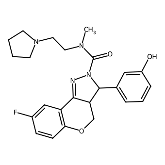 CN(CCN1CCCC1)C(=O)N1N=C2c3cc(F)ccc3OCC2C1c1cccc(O)c1